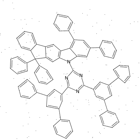 c1ccc(-c2cc(-c3ccccc3)cc(-c3nc(-c4cc(-c5ccccc5)cc(-c5ccccc5)c4)nc(-n4c5cc6c(cc5c5c(-c7ccccc7)cc(-c7ccccc7)cc54)-c4ccccc4C6(c4ccccc4)c4ccccc4)n3)c2)cc1